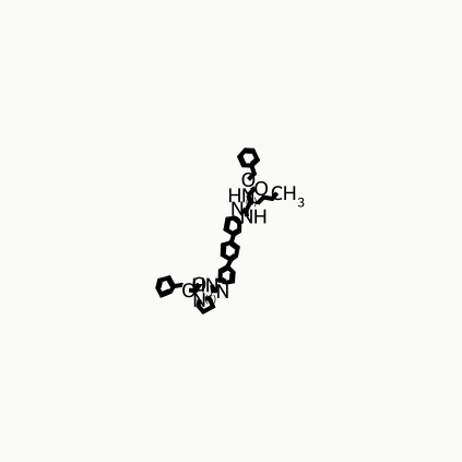 CCCC[C@H](NC(=O)OCc1ccccc1)c1nc2ccc(-c3ccc(-c4ccc5nc([C@@H]6CCCN6C(=O)OCc6ccccc6)[nH]c5c4)cc3)cc2[nH]1